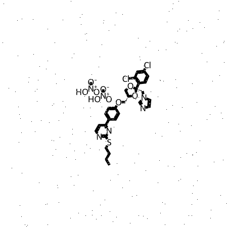 CCCCSc1nccc(-c2ccc(OC[C@@H]3CO[C@@](Cn4ccnc4)(c4ccc(Cl)cc4Cl)O3)cc2)n1.O=[N+]([O-])O.O=[N+]([O-])O